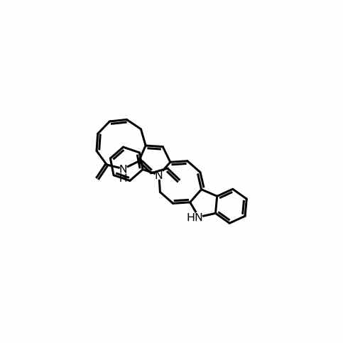 C=C/C=C1/NC(=C)/C=C\C=C/C/C1=C/C1=C/C=c2\c([nH]c3ccccc23)=C/CN1c1ccccc1